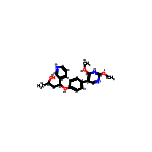 COc1ncc(-c2ccc(OC(C[C@@H](C)O)c3cccnc3)cc2)c(OC)n1